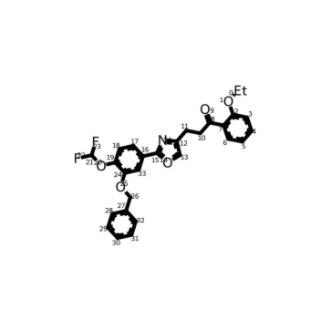 CCOc1ccccc1C(=O)CCc1coc(-c2ccc(OC(F)F)c(OCc3ccccc3)c2)n1